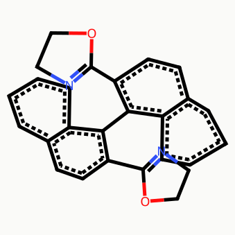 c1ccc2c(-c3c(C4=NCCO4)ccc4ccccc34)c(C3=NCCO3)ccc2c1